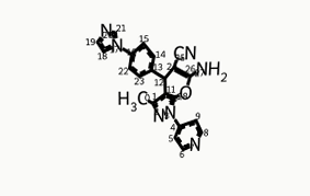 Cc1nn(-c2ccncc2)c2c1C(c1ccc(-n3ccnc3)cc1)C(C#N)=C(N)O2